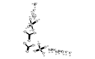 O=C([O-])[O-].O=C([O-])[O-].O=S(=O)([O-])[O-].O=S(=O)([O-])[O-].[Cl-].[Cl-].[K+].[K+].[K+].[K+].[K+].[Na+].[Na+].[Na+].[Na+].[Na+]